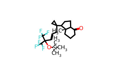 C[C@]12CCCC(=O)C1CCC2C1(C/C=C/C(O[Si](C)(C)C)(C(F)(F)F)C(F)(F)F)CC1